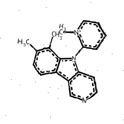 Cc1ccc2c3cnccc3n(-c3cccc[n+]3C)c2c1C